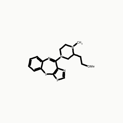 COCCC1CN(C2=Nc3ccccc3Sc3scnc32)CCN1C